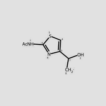 [CH2]C(O)c1csc(NC(C)=O)n1